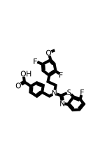 COc1cc(F)c(CCN(Cc2ccc(C(=O)O)cc2)c2nc3cccc(F)c3s2)cc1F